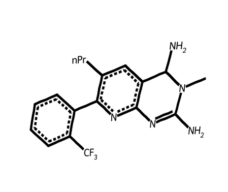 CCCc1cc2c(nc1-c1ccccc1C(F)(F)F)N=C(N)N(C)C2N